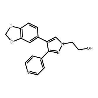 OCCn1cc(-c2ccc3c(c2)OCO3)c(-c2ccncc2)n1